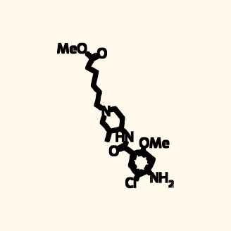 COC(=O)CCCCCN1CCC(NC(=O)c2cc(Cl)c(N)cc2OC)C(C)C1